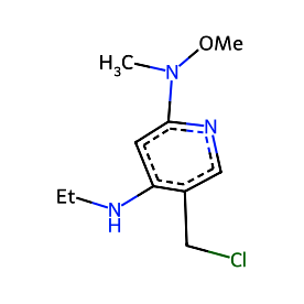 CCNc1cc(N(C)OC)ncc1CCl